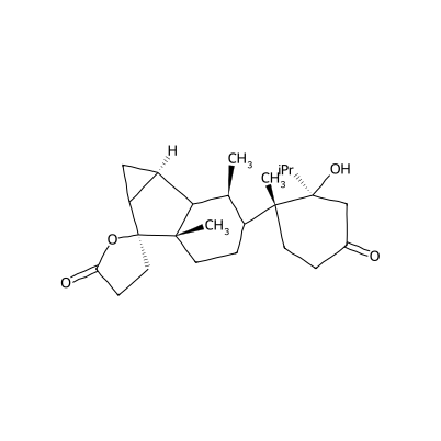 CC(C)[C@]1(O)CC(=O)CC[C@]1(C)C1CC[C@@]2(C)C([C@H]1C)[C@@H]1CC1[C@@]21CCC(=O)O1